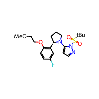 COCCOc1ccc(F)cc1[C@H]1CCCN1c1ccnn1S(=O)(=O)C(C)(C)C